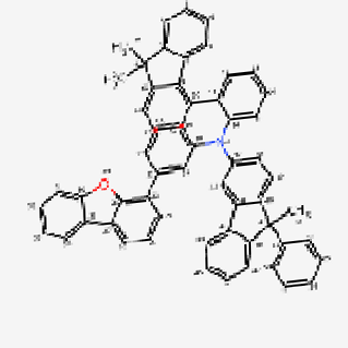 CC1(C)c2ccccc2-c2c(-c3ccccc3N(c3cccc(-c4cccc5c4oc4ccccc45)c3)c3ccc4c(c3)-c3ccccc3C4(C)c3ccccc3)cccc21